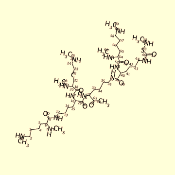 CNCCCCC(NC)C(=O)NCCCCC(NC(=O)C(CCCCNC)NC)C(=O)NC(CCCCNC(=O)C(CCCCNC(=O)SNC)NC(=O)C(CCCCNC)NC)C(C)=O